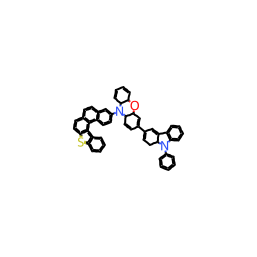 C1=CC2OC3C=C(C4=CCC5C(=C4)c4ccccc4N5c4ccccc4)C=CC3N(c3ccc4c(ccc5ccc6sc7ccccc7c6c54)c3)C2C=C1